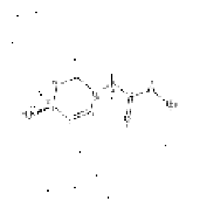 CC(C)(C)OC(=O)N[C@@H]1C=C[C@@H](N)CC1